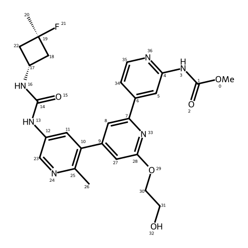 COC(=O)Nc1cc(-c2cc(-c3cc(NC(=O)N[C@H]4C[C@](C)(F)C4)cnc3C)cc(OCCO)n2)ccn1